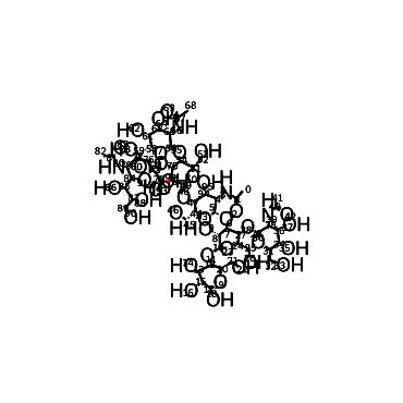 CC(=O)N[C@H]1[C@H](O[C@@H]2[C@@H](O)[C@H](O[C@H]3[C@H](O)[C@@H](O)[C@H](O)O[C@@H]3CO)O[C@H](CO)[C@@H]2O[C@@H]2O[C@H](CO)[C@H](O)[C@H](O)[C@H]2NC(C)=O)O[C@H](CO)[C@@H](O[C@@H]2O[C@H](CO)[C@H](O[C@@H]3O[C@H](CO)[C@H](O)[C@H](O)[C@H]3NC(C)=O)[C@H](O[C@]3(C(=O)O)C[C@H](O)[C@@H](NC(C)=O)[C@H]([C@H](O)[C@H](O)CO)O3)[C@H]2O)[C@@H]1O